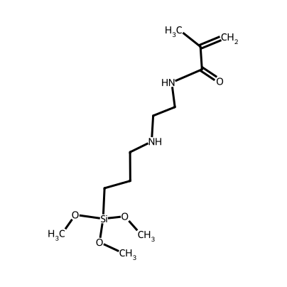 C=C(C)C(=O)NCCNCCC[Si](OC)(OC)OC